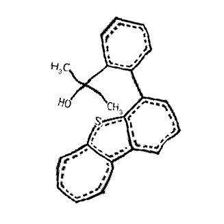 CC(C)(O)c1ccccc1-c1cccc2c1sc1ccccc12